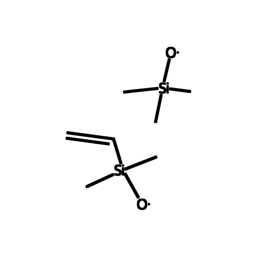 C=C[Si](C)(C)[O].C[Si](C)(C)[O]